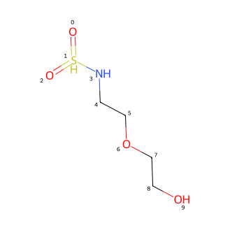 O=[SH](=O)NCCOCCO